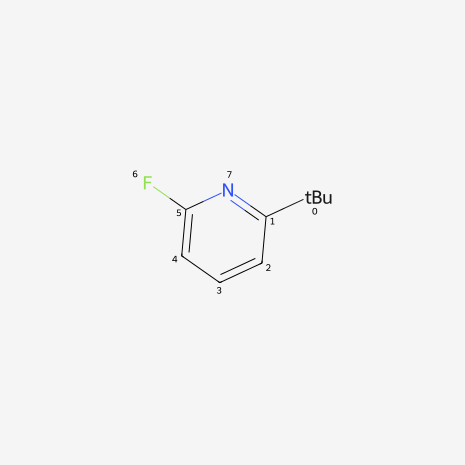 CC(C)(C)c1cccc(F)n1